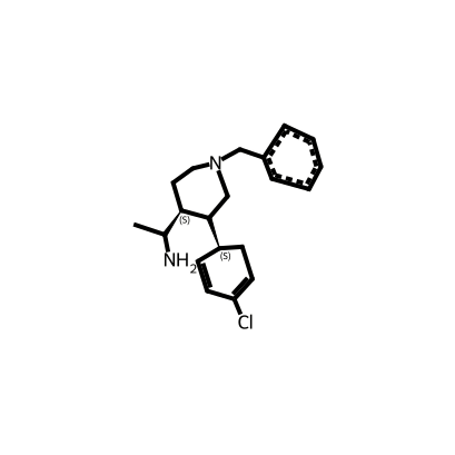 CC(N)[C@H]1CCN(Cc2ccccc2)CC1[C@@H]1C=CC(Cl)=CC1